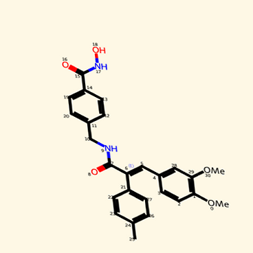 COc1ccc(/C=C(/C(=O)NCc2ccc(C(=O)NO)cc2)c2ccc(C)cc2)cc1OC